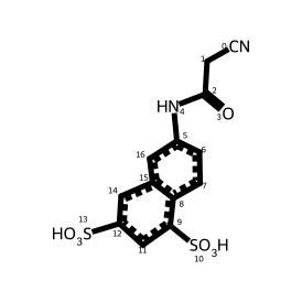 N#CCC(=O)Nc1ccc2c(S(=O)(=O)O)cc(S(=O)(=O)O)cc2c1